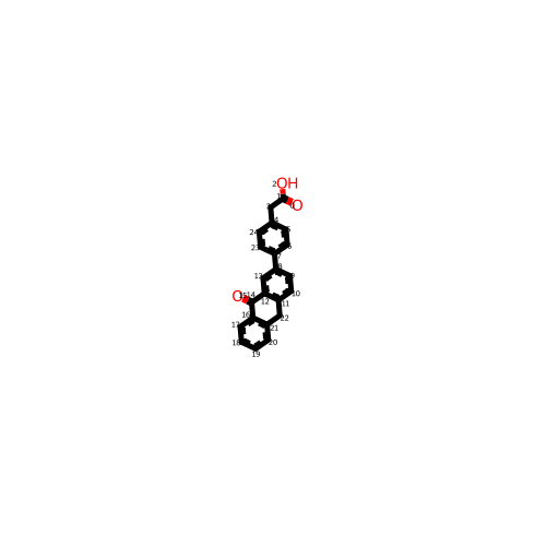 O=C(O)Cc1ccc(-c2ccc3c(c2)C(=O)c2ccccc2C3)cc1